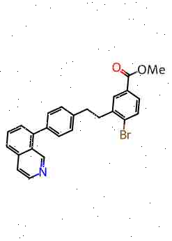 COC(=O)c1ccc(Br)c(CCc2ccc(-c3cccc4ccncc34)cc2)c1